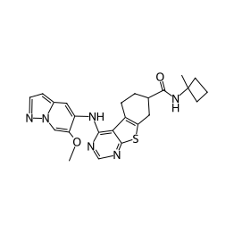 COc1cn2nccc2cc1Nc1ncnc2sc3c(c12)CCC(C(=O)NC1(C)CCC1)C3